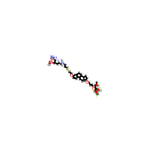 CCCC(OCCCOC1CCC2C3CCc4cc(OCCSSCCCN(C)CCCC(COC)CON)ccc4C3CCC12C)(C(F)(F)F)C(F)(F)F